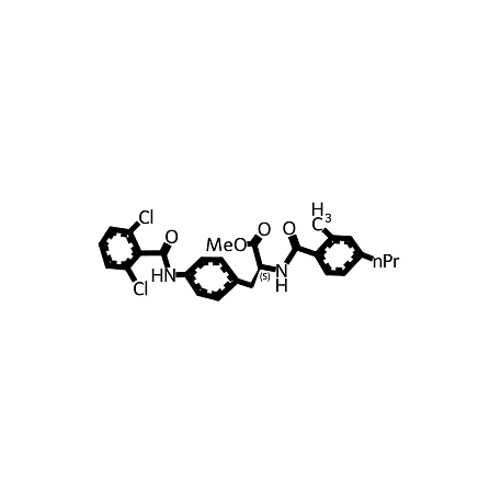 CCCc1ccc(C(=O)N[C@@H](Cc2ccc(NC(=O)c3c(Cl)cccc3Cl)cc2)C(=O)OC)c(C)c1